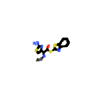 CC(=O)ON=C(C(=O)Sc1nc2ccccc2s1)c1csc(N)n1